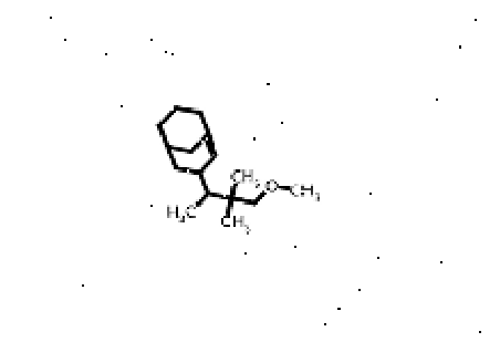 COCC(C)(C)C(C)C1C=C2CCCC(C2)C1